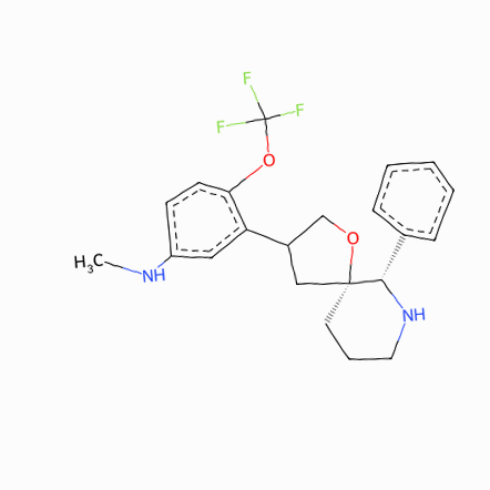 CNc1ccc(OC(F)(F)F)c(C2CO[C@]3(CCCN[C@H]3c3ccccc3)C2)c1